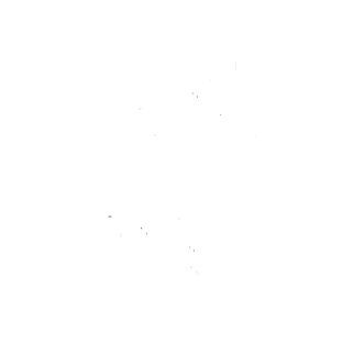 BC1OC(B)(B)CN(Cc2ccc(COc3cccc4c3CN(C3CCC(=O)NC3=O)C4=O)cc2)C1=O